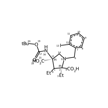 CCC1[C@](CC)(C(=O)O)N(Cc2ccccc2I)C[C@@]1(NC(=O)OC(C)(C)C)C(=O)O